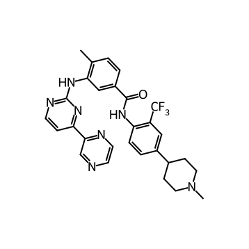 Cc1ccc(C(=O)Nc2ccc(C3CCN(C)CC3)cc2C(F)(F)F)cc1Nc1nccc(-c2cnccn2)n1